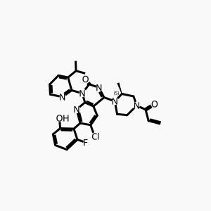 C=CC(=O)N1CCN(c2nc(=O)n(-c3ncccc3C(C)C)c3nc(-c4c(O)cccc4F)c(Cl)cc23)[C@@H](C)C1